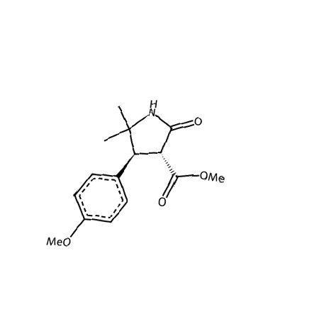 COC(=O)[C@H]1C(=O)NC(C)(C)[C@@H]1c1ccc(OC)cc1